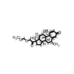 COCOCC(=O)[C@@]1(O)CC[C@H]2[C@@H]3C[C@H](C)C4=CC(=O)C=C[C@]4(C)[C@@]3(F)[C@@H](O)C[C@@]21C